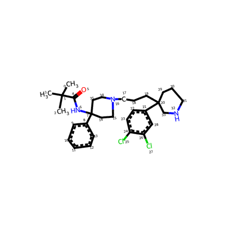 CC(C)(C)C(=O)NC1(c2ccccc2)CCN(CCCC2(c3ccc(Cl)c(Cl)c3)CCCNC2)CC1